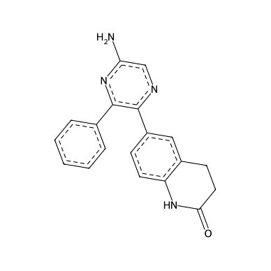 Nc1cnc(-c2ccc3c(c2)CCC(=O)N3)c(-c2ccccc2)n1